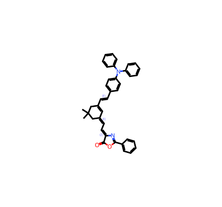 CC1(C)CC(/C=C/c2ccc(N(c3ccccc3)c3ccccc3)cc2)=CC(=C/C=C2\N=C(c3ccccc3)OC2=O)/C1